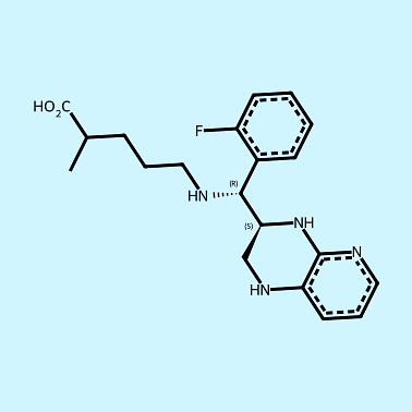 CC(CCCN[C@H](c1ccccc1F)[C@@H]1CNc2cccnc2N1)C(=O)O